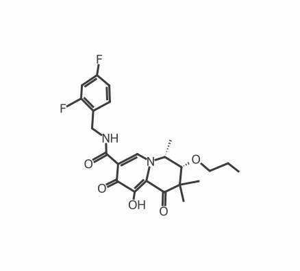 CCCO[C@H]1[C@@H](C)n2cc(C(=O)NCc3ccc(F)cc3F)c(=O)c(O)c2C(=O)C1(C)C